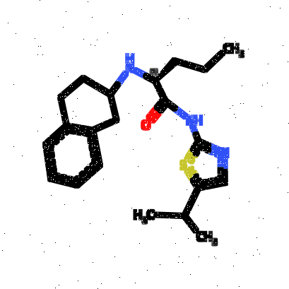 CCC[C@H](NC1CCc2ccccc2C1)C(=O)Nc1ncc(C(C)C)s1